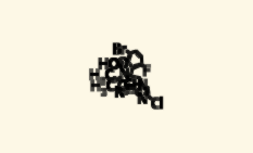 CC(C)(C)N(C(=O)O)[C@@](C)(Cn1cc(Cl)nc1C#N)c1cc(Br)ccc1F